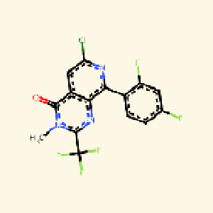 Cn1c(C(F)(F)F)nc2c(-c3ccc(F)cc3F)nc(Cl)cc2c1=O